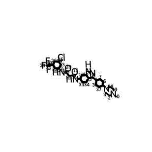 CN1CCN(c2ccc(-c3n[nH]c4cc(NC(=O)CC(=O)Nc5cc(Cl)cc(C(F)(F)F)c5)ccc34)cc2)CC1